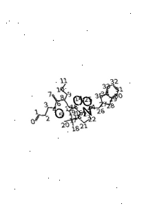 C=CCCC(=O)C(=C)C(CCC)CC(=O)C1C(C(C)(C)C)CCN1C(=O)CC1Cc2ccccc2C1